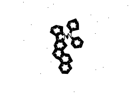 c1ccc(N(c2ccccc2)n2c3ccccc3c3cc4ccc5c6ccccc6ccc5c4cc32)cc1